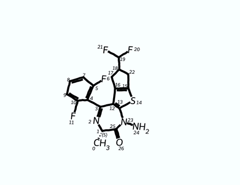 C[C@@H]1N=C(c2c(F)cccc2F)c2c(sc3c2CC(C(F)F)C3)N(N)C1=O